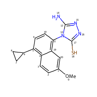 COc1ccc2c(C3CC3)ccc(-n3c(N)nnc3S)c2c1